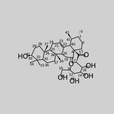 C[C@@H]1CC[C@]2(C(=O)[C@@H]3OC(CO)[C@@H](O)C(O)C3O)CC[C@]3(C)C(=CCC4[C@@]5(C)CC[C@H](O)C(C)(C)C5CC[C@]43C)C2[C@H]1C